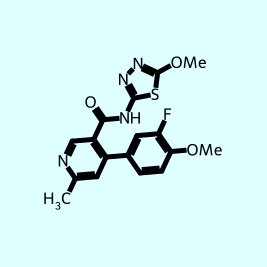 COc1nnc(NC(=O)c2cnc(C)cc2-c2ccc(OC)c(F)c2)s1